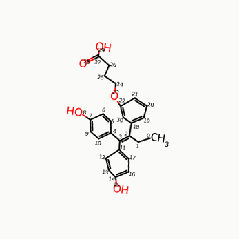 CCC(=C(c1ccc(O)cc1)c1ccc(O)cc1)c1cccc(OCCCC(=O)O)c1